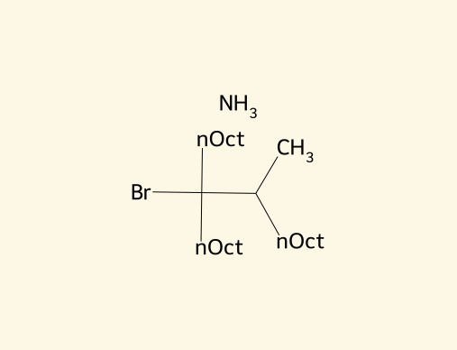 CCCCCCCCC(C)C(Br)(CCCCCCCC)CCCCCCCC.N